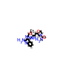 CCOCc1nc2c(N)nc3ccccc3c2n1NCCCC1CN(C(N)=O)CCO1